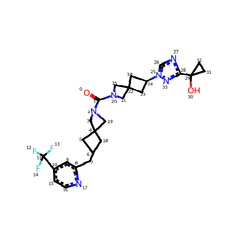 O=C(N1CC2(CC(Cc3cc(C(F)(F)F)ccn3)C2)C1)N1CC2(CC(n3cnc(C4(O)CC4)n3)C2)C1